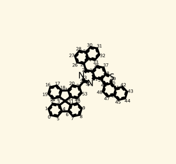 c1ccc2c(c1)-c1ccccc1C21c2ccccc2-c2cc(-c3nc(-c4cccc5ccccc45)c4ccc5sc6c7ccccc7ccc6c5c4n3)ccc21